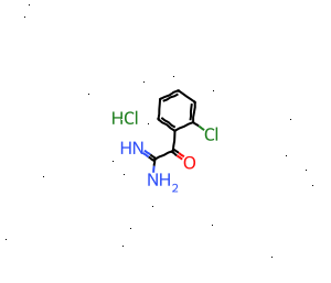 Cl.N=C(N)C(=O)c1ccccc1Cl